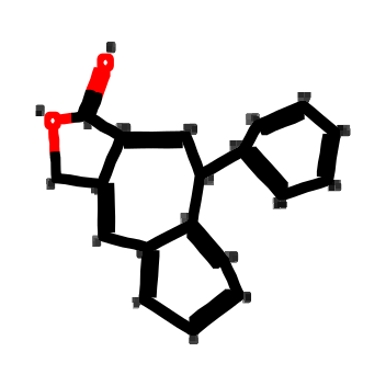 O=C1OCC2=Cc3ccccc3C(c3ccccc3)C=C12